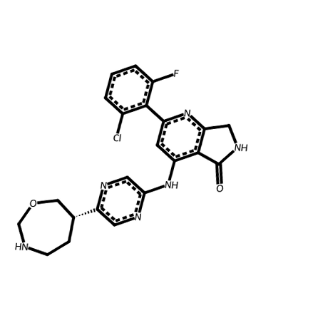 O=C1NCc2nc(-c3c(F)cccc3Cl)cc(Nc3cnc([C@@H]4CCNCOC4)cn3)c21